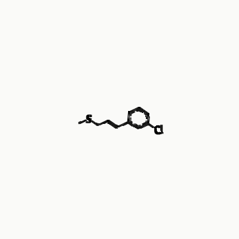 CSC/C=C/c1cccc(Cl)c1